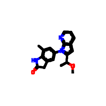 COC(C)c1cc2cccnc2n1-c1cc(C)c2c(c1)CC(=O)N2